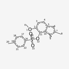 COc1ccc2cc(C)sc2c1OS(=O)(=O)c1ccc(C)cc1